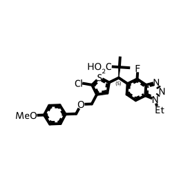 CCn1nnc2c(F)c([C@@H](c3cc(COCc4ccc(OC)cc4)c(Cl)s3)C(C)(C)C(=O)O)ccc21